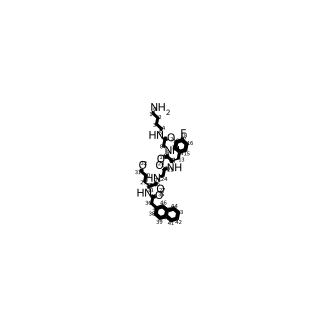 NCCCCNC(=O)CNC(=O)[C@@H](Cc1ccc(F)cc1)NC(=O)CNC(=O)[C@H](CCC=O)NC(=O)Cc1ccc2ccccc2c1